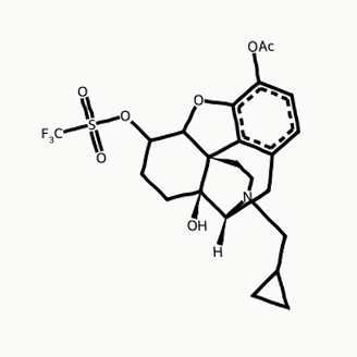 CC(=O)Oc1ccc2c3c1OC1C(OS(=O)(=O)C(F)(F)F)CC[C@@]4(O)[C@@H](C2)N(CC2CC2)CC[C@]314